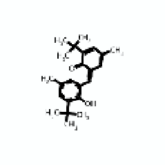 CC1=CC(=Cc2cc(C)cc(C(C)(C)C)c2O)C(=O)C(C(C)(C)C)=C1